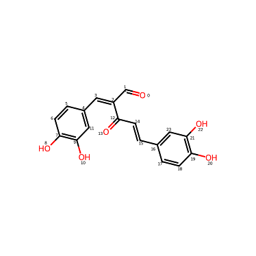 O=[C]C(=Cc1ccc(O)c(O)c1)C(=O)C=Cc1ccc(O)c(O)c1